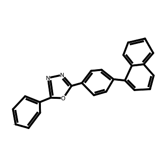 [c]1ccc(-c2nnc(-c3ccc(-c4cccc5ccccc45)cc3)o2)cc1